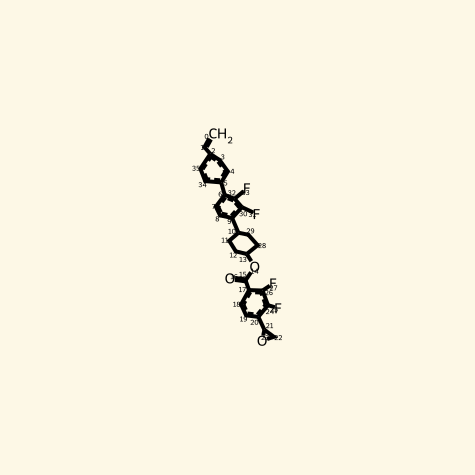 C=Cc1ccc(-c2ccc(C3CCC(OC(=O)c4ccc(C5CO5)c(F)c4F)CC3)c(F)c2F)cc1